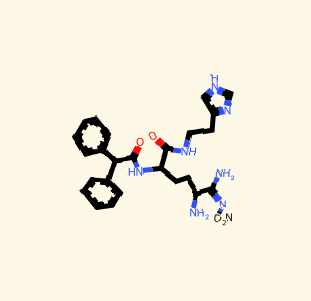 N/C(=N/[N+](=O)[O-])C(N)CCC(NC(=O)C(c1ccccc1)c1ccccc1)C(=O)NCCc1c[nH]cn1